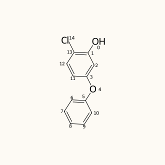 Oc1cc(Oc2ccccc2)ccc1Cl